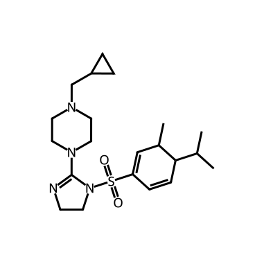 CC(C)C1C=CC(S(=O)(=O)N2CCN=C2N2CCN(CC3CC3)CC2)=CC1C